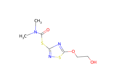 CN(C)C(=O)Sc1nsc(OCCO)n1